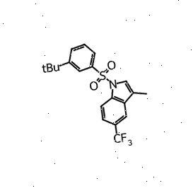 Cc1cn(S(=O)(=O)c2cccc(C(C)(C)C)c2)c2ccc(C(F)(F)F)cc12